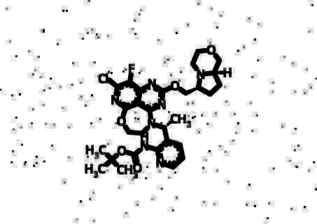 C[C@H](c1cccnc1NC(=O)OC(C)(C)C)N1CCOc2nc(Cl)c(F)c3nc(OC[C@@H]4CC[C@H]5COCCN54)nc1c23